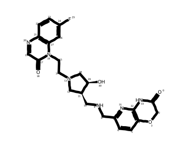 O=C1COc2ccc(CNC[C@H]3CN(CCn4c(=O)cnc5ccc(F)cc54)C[C@H]3O)nc2N1